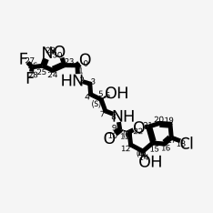 O=C(NCC[C@H](O)CNC(=O)[C@H]1C[C@@H](O)c2cc(Cl)ccc2O1)c1cc(C(F)F)no1